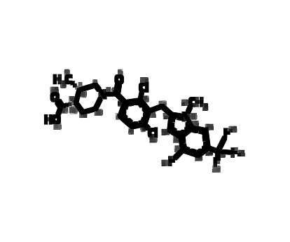 C[C@@H]1CN(C(=O)c2ccc(Cl)c(Cc3cc4c(F)cc(C(F)(F)F)cc4n3C)c2Cl)CC[C@@H]1C(=O)O